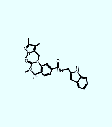 Cc1nn(C)c(CN2C(=O)N(C)[C@@H](C)c3ccc(C(=O)NCc4cc5ccccc5[nH]4)cc32)c1C